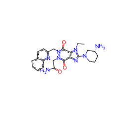 CCn1c(N2CCC[C@@H](N)C2)nc2c(=O)n(CC(N)=O)n(Cc3ccc4ccccc4n3)c(=O)c21